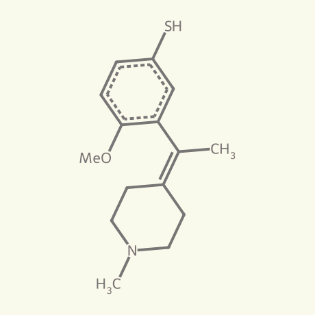 COc1ccc(S)cc1C(C)=C1CCN(C)CC1